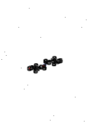 CC(C)(COC(=O)/C=C/C(=O)OCC(C)(C)C(=O)C(=O)N1CCOCC1)C(=O)C(=O)N1CCOCC1